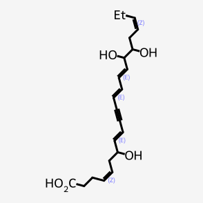 CC/C=C\CC(O)C(O)/C=C/C=C/C#C/C=C/C(O)C/C=C\CCC(=O)O